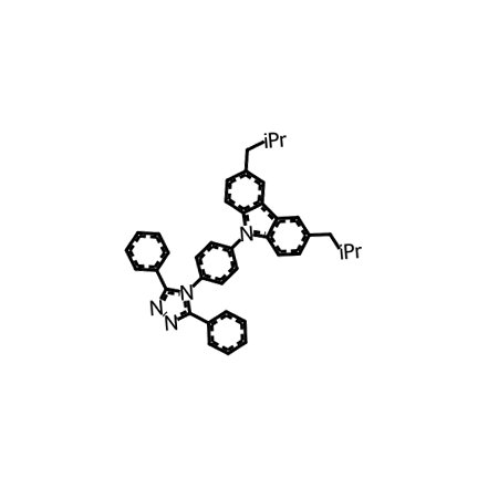 CC(C)Cc1ccc2c(c1)c1cc(CC(C)C)ccc1n2-c1ccc(-n2c(-c3ccccc3)nnc2-c2ccccc2)cc1